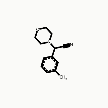 Cc1cccc(C(C#N)N2CCOCC2)c1